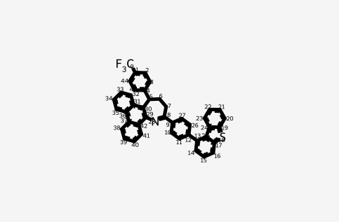 FC(F)(F)c1ccc(C2CCC(c3ccc(-c4cccc5sc6ccccc6c45)cc3)=Nc3c2c2ccccc2c2ccccc32)cc1